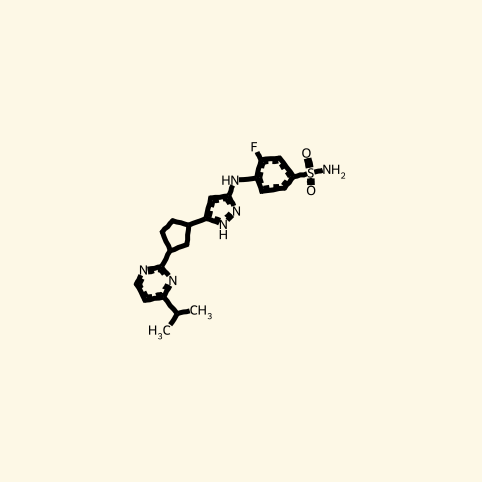 CC(C)c1ccnc(C2CCC(c3cc(Nc4ccc(S(N)(=O)=O)cc4F)n[nH]3)C2)n1